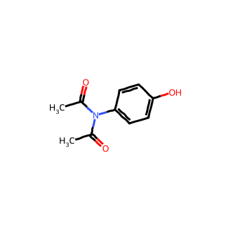 CC(=O)N(C(C)=O)c1ccc(O)cc1